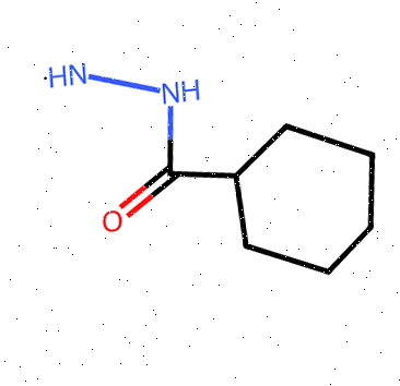 [NH]NC(=O)C1CCCCC1